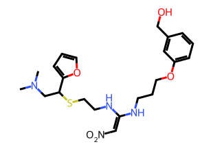 CN(C)CC(SCCNC(=C[N+](=O)[O-])NCCCOc1cccc(CO)c1)c1ccco1